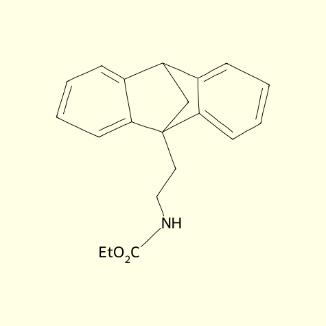 CCOC(=O)NCCC12CC(c3ccccc31)c1ccccc12